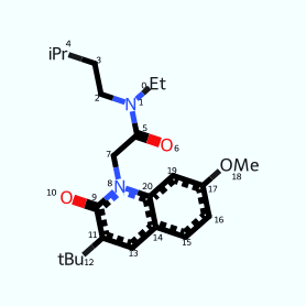 CCN(CCC(C)C)C(=O)Cn1c(=O)c(C(C)(C)C)cc2ccc(OC)cc21